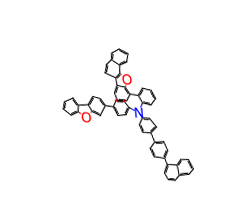 c1ccc(N(c2ccc(-c3ccc(-c4cccc5ccccc45)cc3)cc2)c2ccc(-c3ccc4c(c3)oc3ccccc34)cc2)c(-c2cccc3c2oc2c4ccccc4ccc32)c1